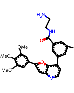 COc1cc(-c2cc3nccc(-c4cc(C)cc(C(=O)NCCN)c4)c3o2)cc(OC)c1OC